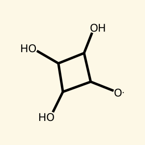 [O]C1C(O)C(O)C1O